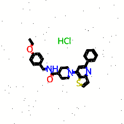 CCOc1ccc(CNC(=O)C2CCN(c3cc(-c4ccccc4)nc4ccsc34)CC2)cc1.Cl